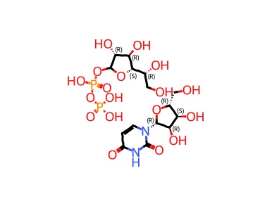 O=P(O)(O)OP(=O)(O)OC1O[C@@H]([C@H](O)CO)[C@H](O)[C@H]1O.O=c1ccn([C@@H]2O[C@H](CO)[C@@H](O)[C@H]2O)c(=O)[nH]1